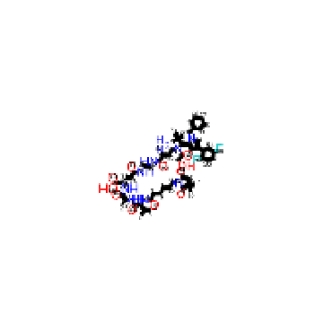 CC(C)C(NC(=O)CCCCCN1C(=O)CC(C)(C)C1=O)C(=O)N[C@@H](C)C(=O)N[C@@H](CCC(=O)NCCNC(=O)[C@@H](N)CCN(C(=O)CO)[C@@H](c1cc(-c2cc(F)ccc2F)cn1Cc1ccccc1)C(C)(C)C)C(=O)O